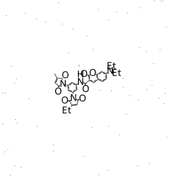 CCC1=CC(=O)N(c2cc(NC(=O)c3cc4ccc(N(CC)CC)cc4oc3=O)cc(N3C(=O)C=C(C)C3=O)c2)C1=O